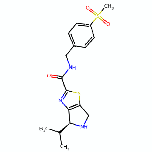 CC(C)[C@@H]1NCc2sc(C(=O)NCc3ccc(S(C)(=O)=O)cc3)nc21